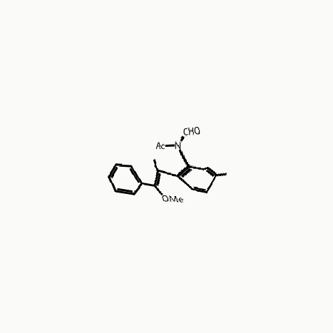 CO/C(=C(/C)c1ccc(C)cc1N(C=O)C(C)=O)c1ccccc1